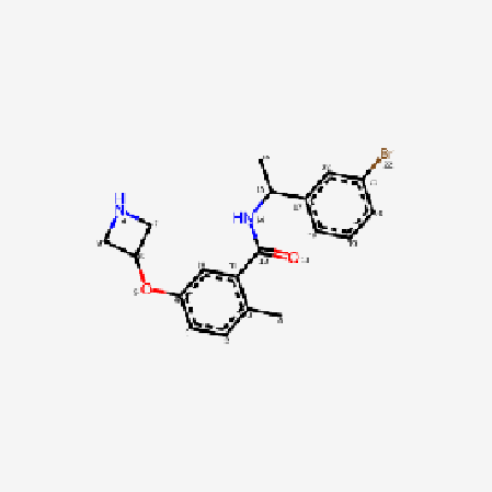 Cc1ccc(OC2CNC2)cc1C(=O)NC(C)c1cccc(Br)c1